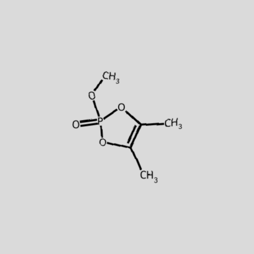 COP1(=O)OC(C)=C(C)O1